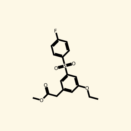 CCOc1cc(CC(=O)OC)cc(S(=O)(=O)c2ccc(F)cc2)c1